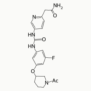 CC(=O)N1CCCC(Oc2cc(F)cc(NC(=O)Nc3ccc(CC(N)=O)nc3)c2)C1